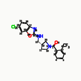 O=C(c1ccccc1C(F)(F)F)N1CC[C@H](CNc2nc3ccc(Cl)cc3o2)C1